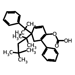 CC(C)(C)CC(C)(C)C1(C(C)(C)c2ccccc2)C=CC(OC(=O)O)=C(c2ccccc2)C1